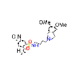 COc1cc2c(cc1OC)CN(CCCCNS(=O)(=O)c1cc([N+](=O)[O-])ccc1C)CC2